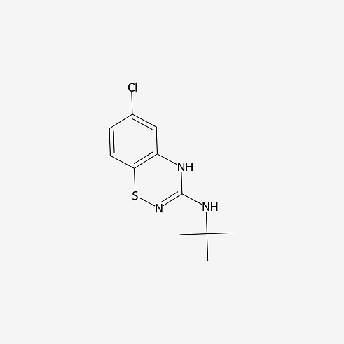 CC(C)(C)NC1=NSc2ccc(Cl)cc2N1